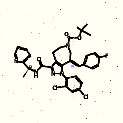 C[C@@H](NC(=O)c1nn(-c2ccc(Cl)cc2Cl)c2c1CCN(C(=O)OC(C)(C)C)C/C2=C\c1ccc(F)cc1)c1ccccn1